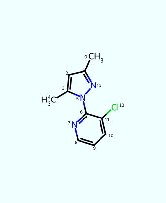 Cc1cc(C)n(-c2ncccc2Cl)n1